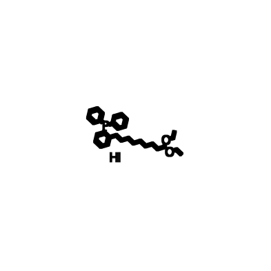 CCOC(CCCCCCCCc1ccccc1P(c1ccccc1)c1ccccc1)OCC.I